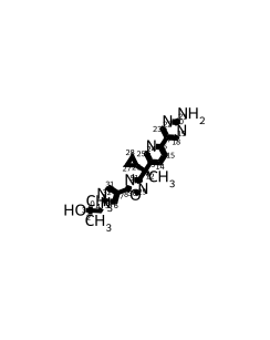 CC(C)(O)Cn1cc(-c2nc([C@@](C)(c3ccc(-c4cnc(N)nc4)nc3)C3CC3)no2)cn1